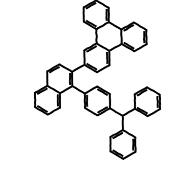 c1ccc(C(c2ccccc2)c2ccc(-c3c(-c4ccc5c6ccccc6c6ccccc6c5c4)ccc4ccccc34)cc2)cc1